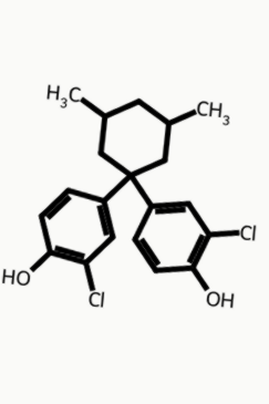 CC1CC(C)CC(c2ccc(O)c(Cl)c2)(c2ccc(O)c(Cl)c2)C1